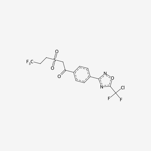 O=C(CS(=O)(=O)CCC(F)(F)F)c1ccc(-c2noc(C(F)(F)Cl)n2)cc1